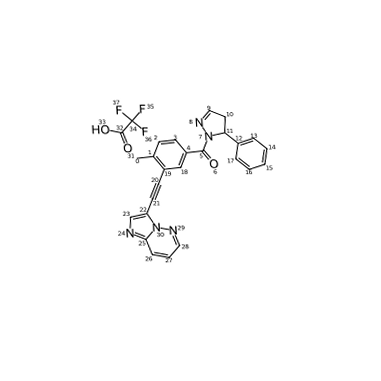 Cc1ccc(C(=O)N2N=CCC2c2ccccc2)cc1C#Cc1cnc2cccnn12.O=C(O)C(F)(F)F